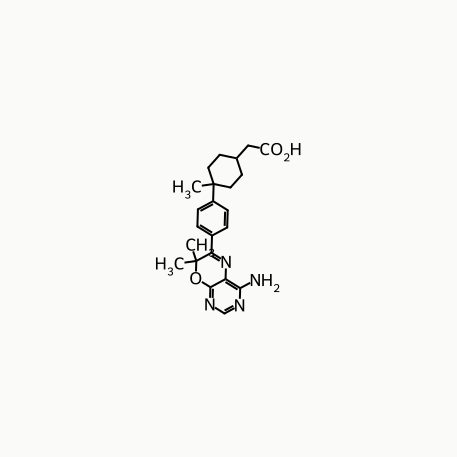 CC1(C)Oc2ncnc(N)c2N=C1c1ccc(C2(C)CCC(CC(=O)O)CC2)cc1